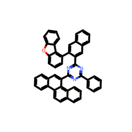 c1ccc(-c2nc(-c3cc4ccccc4cc3-c3cccc4oc5ccccc5c34)nc(-c3cc4ccccc4c4ccc5ccccc5c34)n2)cc1